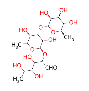 CC(O)C(O)C(O)C(C=O)O[C@H]1O[C@H](C)[C@@H](O)[C@H](O[C@H]2O[C@H](C)[C@@H](O)[C@H](O)[C@@H]2O)[C@@H]1O